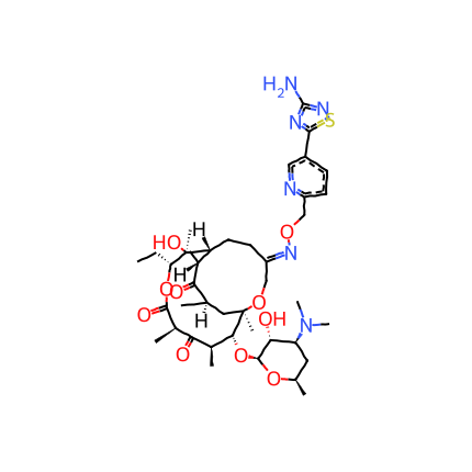 CC[C@H]1OC(=O)[C@H](C)C(=O)[C@H](C)[C@@H](O[C@@H]2O[C@H](C)C[C@H](N(C)C)[C@H]2O)[C@@]2(C)C[C@@H](C)C(=O)[C@H](C)[C@@H](CC/C(=N\OCc3ccc(-c4nc(N)ns4)cn3)CO2)[C@]1(C)O